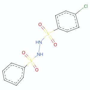 O=S(=O)(NNS(=O)(=O)c1ccc(Cl)cc1)c1ccccc1